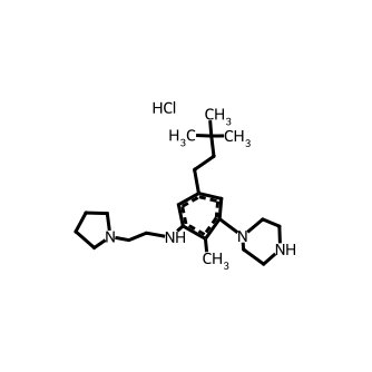 Cc1c(NCCN2CCCC2)cc(CCC(C)(C)C)cc1N1CCNCC1.Cl